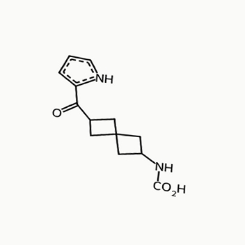 O=C(O)NC1CC2(C1)CC(C(=O)c1ccc[nH]1)C2